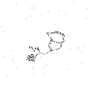 CCCCC(N)Cc1ccc2ccccc2c1